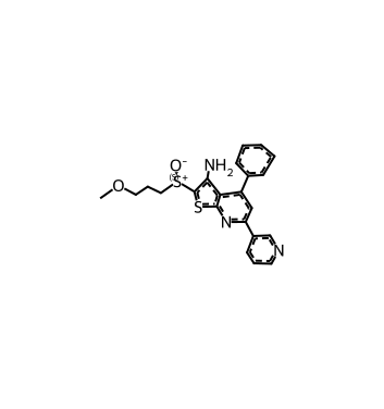 COCCC[S@@+]([O-])c1sc2nc(-c3cccnc3)cc(-c3ccccc3)c2c1N